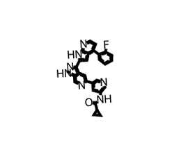 O=C(Nc1cncc(-c2cc3c(-c4cc5c(-c6ccccc6F)ccnc5[nH]4)n[nH]c3cn2)c1)C1CC1